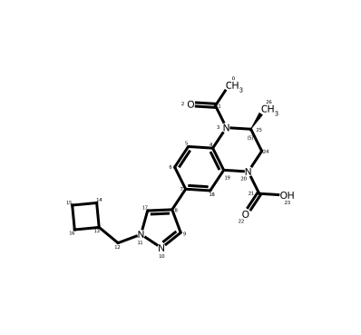 CC(=O)N1c2ccc(-c3cnn(CC4CCC4)c3)cc2N(C(=O)O)C[C@@H]1C